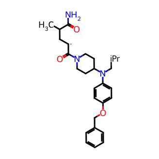 CC(C)CN(c1ccc(OCc2ccccc2)cc1)C1CCN(C(=O)[CH]CC(C)C(N)=O)CC1